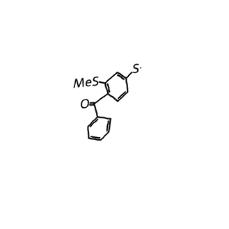 CSc1cc([S])ccc1C(=O)c1ccccc1